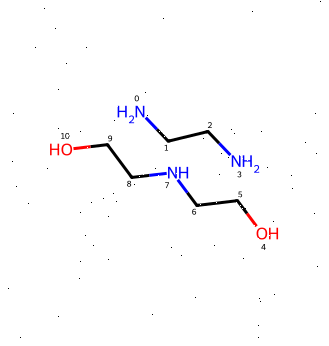 NCCN.OCCNCCO